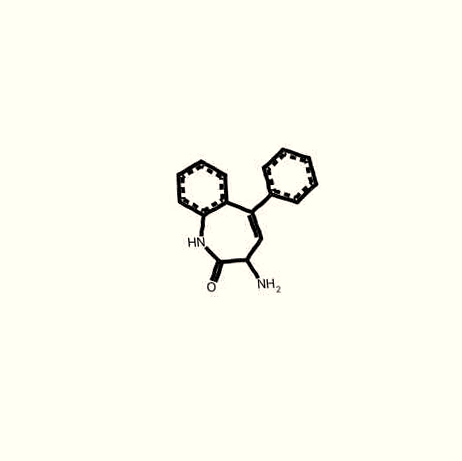 NC1C=C(c2ccccc2)c2ccccc2NC1=O